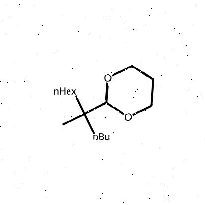 CCCCCCC(C)(CCCC)C1OCCCO1